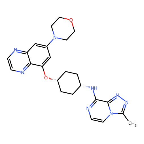 Cc1nnc2c(N[C@H]3CC[C@@H](Oc4cc(N5CCOCC5)cc5nccnc45)CC3)nccn12